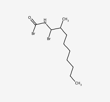 CCCCCCCC(C)C(Br)NC(=O)Br